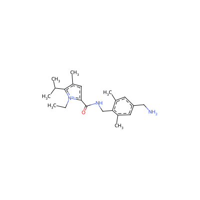 CCn1c(C(=O)NCc2c(C)cc(CN)cc2C)cc(C)c1C(C)C